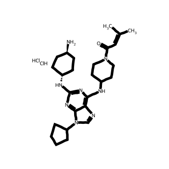 CC(C)=CC(=O)N1CCC(Nc2nc(N[C@H]3CC[C@H](N)CC3)nc3c2ncn3C2CCCC2)CC1.Cl.Cl